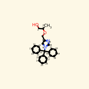 CC(CO)OCc1cn(C(c2ccccc2)(c2ccccc2)c2ccccc2)cn1